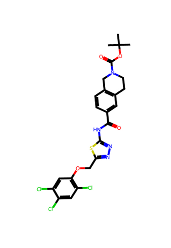 CC(C)(C)OC(=O)N1CCc2cc(C(=O)Nc3nnc(COc4cc(Cl)c(Cl)cc4Cl)s3)ccc2C1